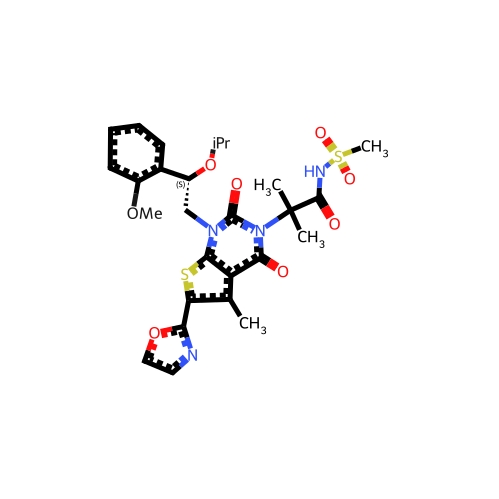 COc1ccccc1[C@@H](Cn1c(=O)n(C(C)(C)C(=O)NS(C)(=O)=O)c(=O)c2c(C)c(-c3ncco3)sc21)OC(C)C